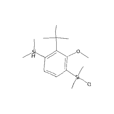 COc1c([Si](C)(C)Cl)ccc([SiH](C)C)c1C(C)(C)C